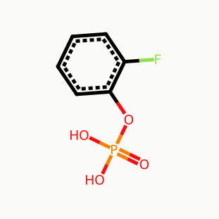 O=P(O)(O)Oc1ccccc1F